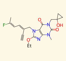 C#C/C(=C\C=C(/C)F)Cn1c(OCC)nc2c1c(=O)n(CC1(O)CC1)c(=O)n2C